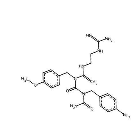 C=C(NCCNC(=N)N)N(Cc1ccc(OC)cc1)C(=O)N(Cc1ccc(N)cc1)C(N)=O